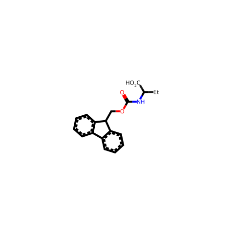 CCC(NC(=O)OCC1c2ccccc2-c2ccccc21)C(=O)O